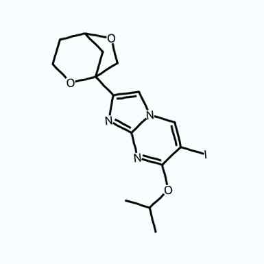 CC(C)Oc1nc2nc(C34COC(CCO3)C4)cn2cc1I